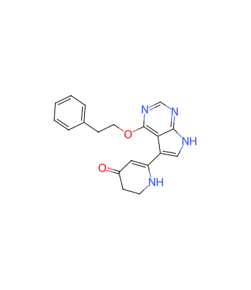 O=C1C=C(c2c[nH]c3ncnc(OCCc4ccccc4)c23)NCC1